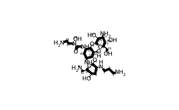 NCCCN[C@@H]1C[C@H](O)[C@@H](CN)O[C@@H]1O[C@H]1[C@H](O)[C@@H](O[C@H]2O[C@H](CO)[C@@H](O)[C@H](N)[C@H]2O)[C@H](NC(=O)N(O)CCN)C[C@@H]1N